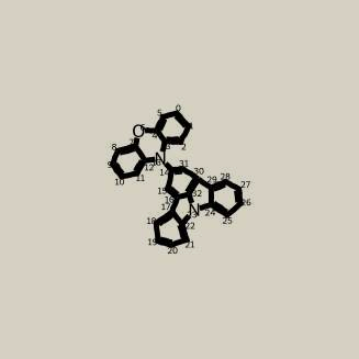 c1ccc2c(c1)Oc1ccccc1N2c1cc2c3ccccc3n3c4ccccc4c(c1)c23